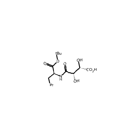 CC(C)CC(NC(=O)[C@@H](O)[C@H](O)C(=O)O)C(=O)OC(C)(C)C